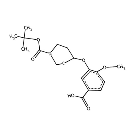 COc1ccc(C(=O)O)cc1OC1CCN(C(=O)OC(C)(C)C)CC1